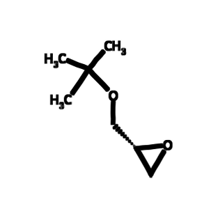 CC(C)(C)OC[C@H]1CO1